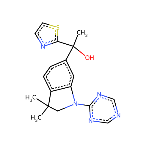 CC1(C)CN(c2ncncn2)c2cc(C(C)(O)c3nccs3)ccc21